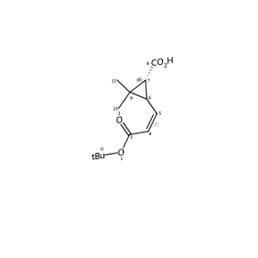 CC(C)(C)OC(=O)/C=C\C1[C@@H](C(=O)O)C1(C)C